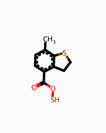 Cc1ccc(C(=O)OS)c2c1SCC2